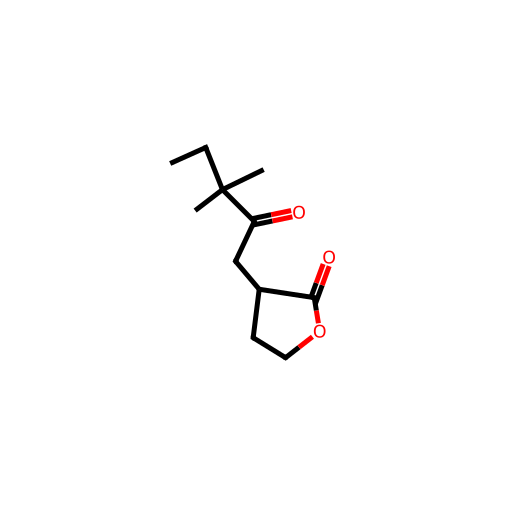 CCC(C)(C)C(=O)CC1CCOC1=O